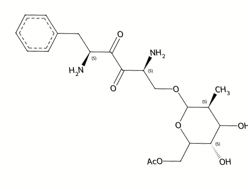 CC(=O)OCC1OC(OC[C@H](N)C(=O)C(=O)[C@@H](N)Cc2ccccc2)[C@@H](C)C(O)[C@@H]1O